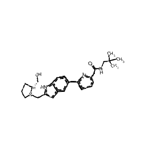 CC(C)(C)CNC(=O)c1cccc(-c2ccc3[nH]c(CN4CCC[C@@H]4CO)cc3c2)n1